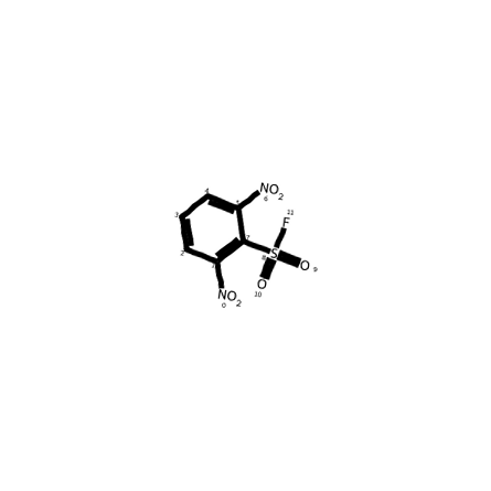 O=[N+]([O-])c1cccc([N+](=O)[O-])c1S(=O)(=O)F